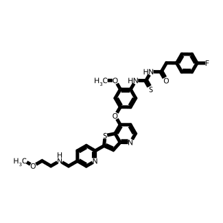 COCCNCc1ccc(-c2cc3nccc(Oc4ccc(NC(=S)NC(=O)Cc5ccc(F)cc5)c(OC)c4)c3s2)nc1